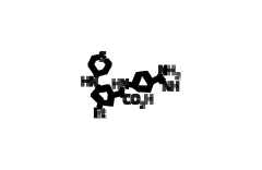 CCc1cc(NC2CCSCC2)cc(C(Nc2ccc(C(=N)N)cc2)C(=O)O)c1